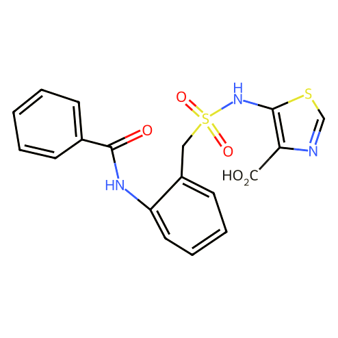 O=C(Nc1ccccc1CS(=O)(=O)Nc1scnc1C(=O)O)c1ccccc1